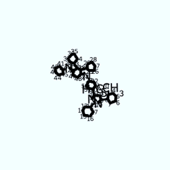 C[Si]1(C)c2ccccc2-c2nc(-c3ccccc3)nc(-c3ccc(-n4c5ccccc5c5c6c7ccccc7n(-c7ccccc7)c6ccc54)cc3)c21